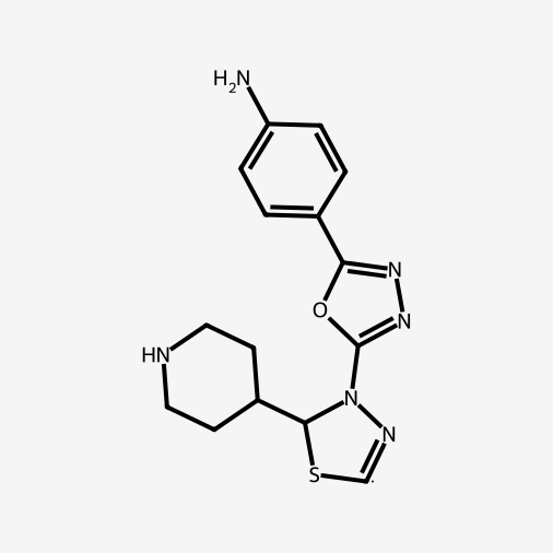 Nc1ccc(-c2nnc(N3N=[C]SC3C3CCNCC3)o2)cc1